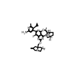 C=C1CN2C[C@H](F)CC2(COc2nc3c4c(nc(-c5cc(N)nc(C)c5C5CC5)c(F)c4n2)O[C@@H](C)[C@@H]2[C@@H]4CC[C@H](CN32)N4)C1